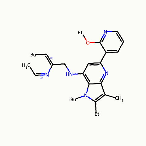 C/C=N\C(=C/C(C)CC)CNc1cc(-c2cccnc2OCC)nc2c(C)c(CC)n(C(C)CC)c12